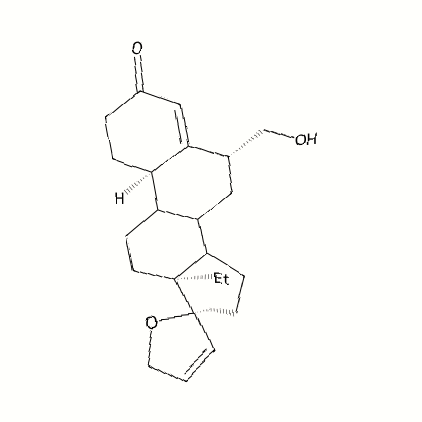 CC[C@]12CCC3C(C[C@@H](CO)C4=CC(=O)CC[C@@H]43)C1CC[C@@]21C=CCO1